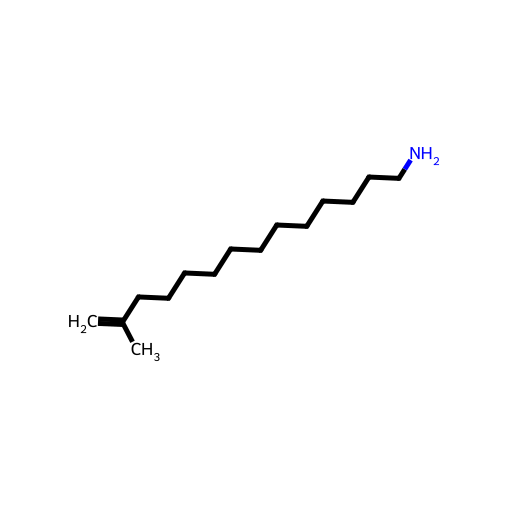 C=C(C)CCCCCCCCCCCCN